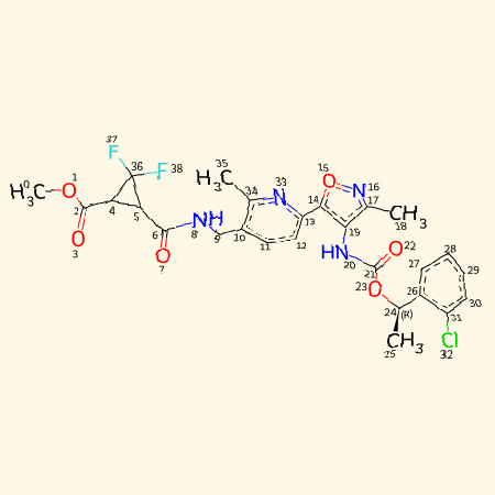 COC(=O)C1C(C(=O)NCc2ccc(-c3onc(C)c3NC(=O)O[C@H](C)c3ccccc3Cl)nc2C)C1(F)F